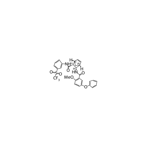 COc1ccc(Oc2ccccc2)cc1C(=O)N[C@H]1[C@@H](C(=O)Nc2cccc(S(=O)(=O)C(F)(F)F)c2)[C@@H]2C=C[C@H]1C2